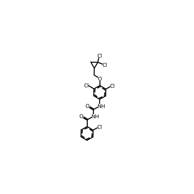 O=C(NC(=O)c1ccccc1Cl)Nc1cc(Cl)c(OCC2CC2(Cl)Cl)c(Cl)c1